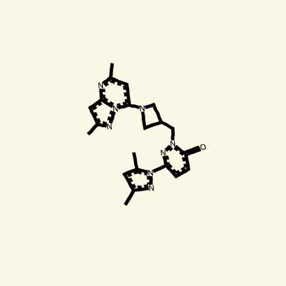 Cc1cc(N2CC(Cn3nc(-n4nc(C)cc4C)ccc3=O)C2)n2nc(C)cc2n1